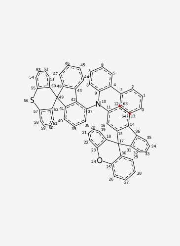 c1ccc(-c2ccccc2N(c2ccc3c(c2)C2(c4ccccc4Oc4ccccc42)c2ccccc2-3)c2cccc3c2-c2ccccc2C32c3ccccc3Sc3ccccc32)cc1